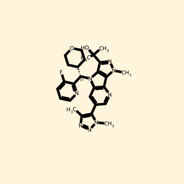 Cc1nnn(C)c1-c1cnc2c3c(c(C(C)(C)O)nn3C)n([C@H](c3ncccc3F)C3CCOCC3)c2c1